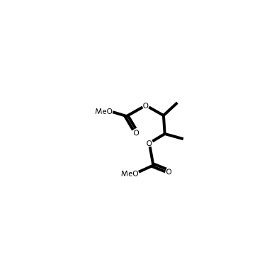 COC(=O)OC(C)C(C)OC(=O)OC